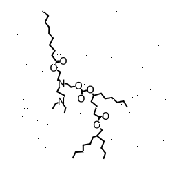 CCCCCCCCCC(=O)OCCN(CCOC(=O)OC(CCCCCC)CCCC(=O)OCC(CCCC)CCCCCC)CCN(CC)CC